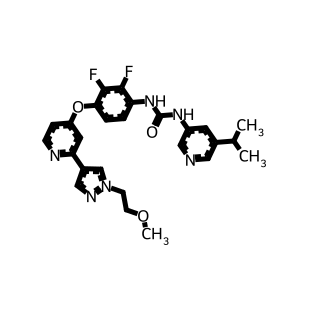 COCCn1cc(-c2cc(Oc3ccc(NC(=O)Nc4cncc(C(C)C)c4)c(F)c3F)ccn2)cn1